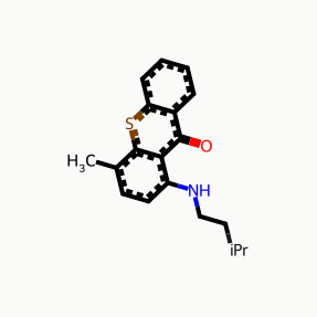 Cc1ccc(NCCC(C)C)c2c(=O)c3ccccc3sc12